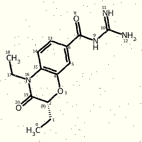 CC[C@H]1Oc2cc(C(=O)NC(=N)N)ccc2N(CC)C1=O